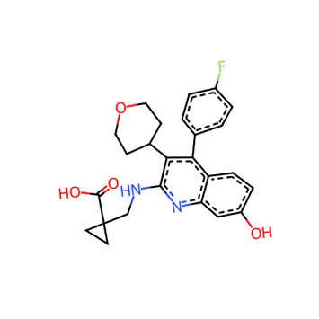 O=C(O)C1(CNc2nc3cc(O)ccc3c(-c3ccc(F)cc3)c2C2CCOCC2)CC1